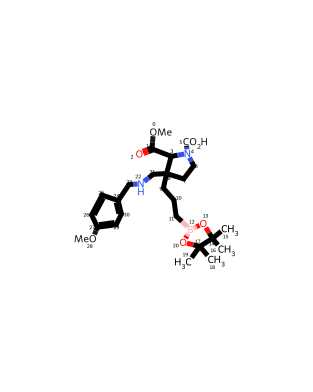 COC(=O)C1N(C(=O)O)CCC1(CCCB1OC(C)(C)C(C)(C)O1)CNCc1ccc(OC)cc1